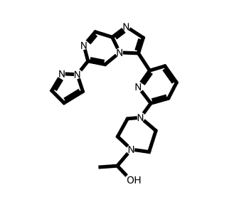 CC(O)N1CCN(c2cccc(-c3cnc4cnc(-n5cccn5)cn34)n2)CC1